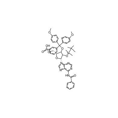 COc1ccc(C(OC2C(O[Si](C)(C)C(C)(C)C)[C@H](n3cnc4c(NC(=O)c5ccccc5)ncnc43)O[C@@H]2CO[PH](=O)O)(c2ccccc2)c2ccc(OC)cc2)cc1